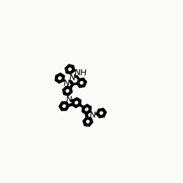 c1ccc(-n2c3c(c4cc(-n5c6ccccc6c6cc(-c7ccc8c(c7)c7ccccc7n8-c7ccccc7)ccc65)ccc42)-c2ccccc2C2Nc4ccccc4N32)cc1